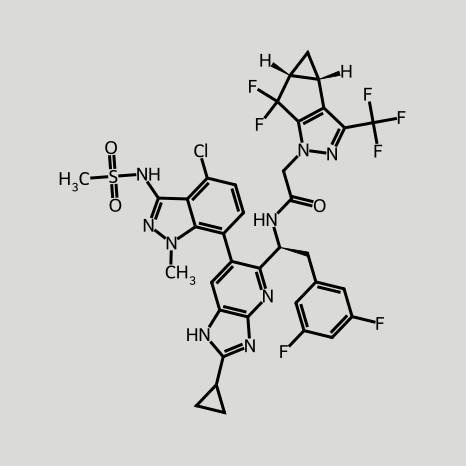 Cn1nc(NS(C)(=O)=O)c2c(Cl)ccc(-c3cc4[nH]c(C5CC5)nc4nc3[C@H](Cc3cc(F)cc(F)c3)NC(=O)Cn3nc(C(F)(F)F)c4c3C(F)(F)[C@@H]3C[C@H]43)c21